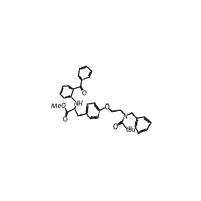 COC(=O)C(Cc1ccc(OCCN(Cc2ccccc2)C(=O)C(C)(C)C)cc1)Nc1ccccc1C(=O)c1ccccc1